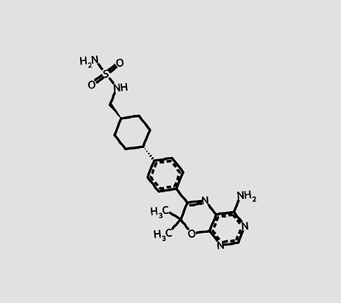 CC1(C)Oc2ncnc(N)c2N=C1c1ccc([C@H]2CC[C@H](CNS(N)(=O)=O)CC2)cc1